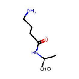 C[C@@H]([C]=O)NC(=O)CCCN